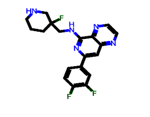 Fc1ccc(-c2cc3nccnc3c(NCC3(F)CCCNC3)n2)cc1F